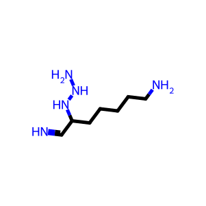 N=CC(CCCCCN)NNN